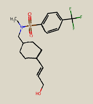 CN(CC1CCC(C=CCO)CC1)S(=O)(=O)c1ccc(C(F)(F)F)cc1